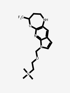 C[Si](C)(C)CCOCn1ccc2cc3c(nc21)OC(C(F)(F)F)CCN3